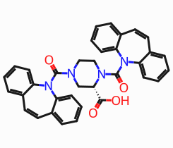 O=C(O)[C@@H]1CN(C(=O)N2c3ccccc3C=Cc3ccccc32)CCN1C(=O)N1c2ccccc2C=Cc2ccccc21